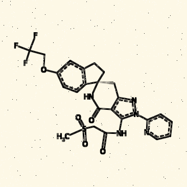 CS(=O)(=O)CC(=O)Nc1c2c(nn1-c1ccccn1)C[C@]1(CCc3cc(OCC(F)(F)F)ccc31)NC2=O